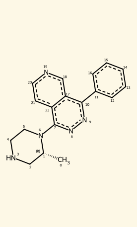 C[C@@H]1CNCCN1c1nnc(-c2ccccc2)c2cnccc12